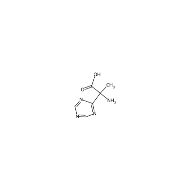 CC(N)(C(=O)O)c1ncncn1